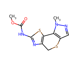 COC(=O)Nc1nc2c(s1)-c1c(cnn1C)SC2